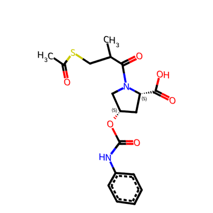 CC(=O)SCC(C)C(=O)N1C[C@@H](OC(=O)Nc2ccccc2)C[C@H]1C(=O)O